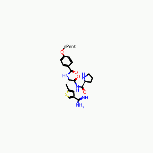 CCCCCOc1ccc(C(=O)N[C@@H](Cc2cc(C(=N)N)cs2)C(=O)NC(=O)[C@@H]2CCCN2)cc1